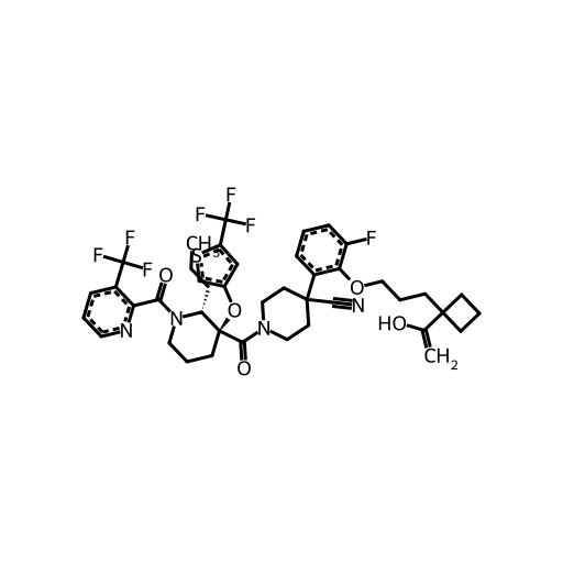 C=C(O)C1(CCCOc2c(F)cccc2C2(C#N)CCN(C(=O)[C@]3(Oc4csc(C(F)(F)F)c4)CCCN(C(=O)c4ncccc4C(F)(F)F)[C@@H]3CCC)CC2)CCC1